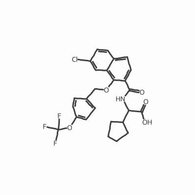 O=C(NC(C(=O)O)C1CCCC1)c1ccc2ccc(Cl)cc2c1OCc1ccc(OC(F)(F)F)cc1